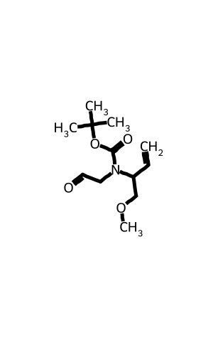 C=CC(COC)N(CC=O)C(=O)OC(C)(C)C